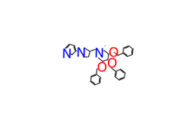 C[C@@H]1[C@@H](OCc2ccccc2)[C@H](OCc2ccccc2)[C@@H](OCc2ccccc2)CN1CC1CCN(c2cccnc2)C1